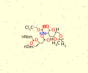 CCCCCCCCCCC[C@H](CC(=O)O[C@H]1[C@@H]2OC(C)(C)OC[C@H]2OC(O)[C@@H]1NC(=O)OCC(Cl)(Cl)Cl)OC(=O)CCCCCCCCC